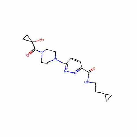 O=C(NCCC1CC1)c1ccc(N2CCN(C(=O)C3(O)CC3)CC2)nn1